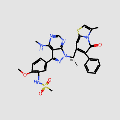 CNc1ncnc2c1c(-c1ccc(OC)c(NS(C)(=O)=O)c1)nn2[C@@H](C)c1cc2scc(C)n2c(=O)c1-c1ccccc1